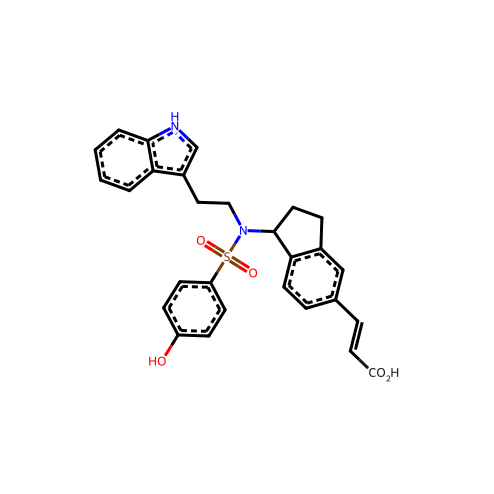 O=C(O)/C=C/c1ccc2c(c1)CCC2N(CCc1c[nH]c2ccccc12)S(=O)(=O)c1ccc(O)cc1